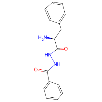 N[C@@H](Cc1ccccc1)C(=O)NNC(=O)c1ccccc1